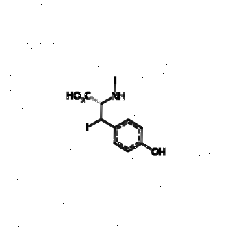 O=C(O)[C@H](NI)C(I)c1ccc(O)cc1